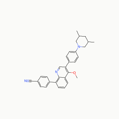 COc1c(-c2ccc(N3CC(C)CC(C)C3)cc2)cnc2c(-c3ccc(C#N)cc3)cccc12